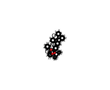 c1ccc2c(c1)Oc1ccc(N(c3cccc4c3Oc3ccccc3C43c4ccccc4-c4ccccc43)c3cccc4oc5ccccc5c34)cc1C21c2ccccc2-c2ccccc21